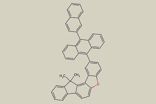 CC1(C)c2ccccc2-c2ccc3oc4ccc(-c5c6ccccc6c(-c6ccc7ccccc7c6)c6ccccc56)cc4c3c21